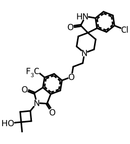 CC1(O)CC(N2C(=O)c3cc(OCCN4CCC5(CC4)C(=O)Nc4ccc(Cl)cc45)cc(C(F)(F)F)c3C2=O)C1